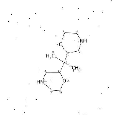 CC(C)(C1CNCCO1)C1CNCCO1